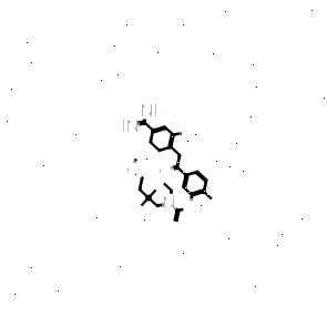 C=C(Sc1cc(C(=O)CC2=C(F)C=C(C(=N)N)CC2)ccc1C)N(CC)CC(C)(C)CCOC